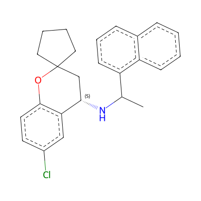 CC(N[C@H]1CC2(CCCC2)Oc2ccc(Cl)cc21)c1cccc2ccccc12